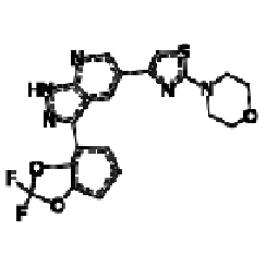 FC1(F)Oc2cccc(-c3n[nH]c4ncc(-c5csc(N6CCOCC6)n5)cc34)c2O1